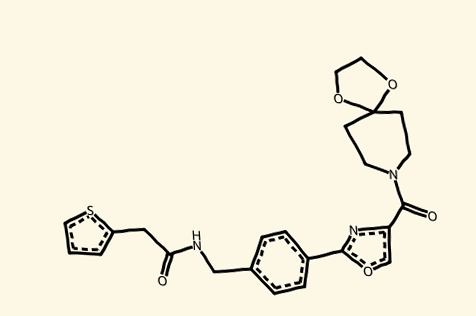 O=C(Cc1cccs1)NCc1ccc(-c2nc(C(=O)N3CCC4(CC3)OCCO4)co2)cc1